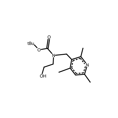 Cc1cc(C)c(CN(CCO)C(=O)OC(C)(C)C)c(C)n1